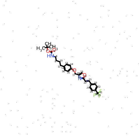 CC(C)(C)OC(=O)NCCCCc1ccc(OCc2coc(/C=C/c3ccc(C(F)(F)F)cc3)n2)cc1